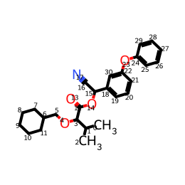 CC(C)C(OCC1CCCCC1)C(=O)OC(C#N)c1cccc(Oc2ccccc2)c1